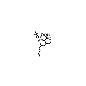 C=CCCC(C)CC(CC)C(NC(=O)OC(C)(C)C)C(=O)O